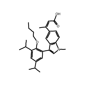 CCCCOc1c(-c2cn(C)c3ccc(/C(C)=C\C(=O)O)cc23)cc(C(C)C)cc1C(C)C